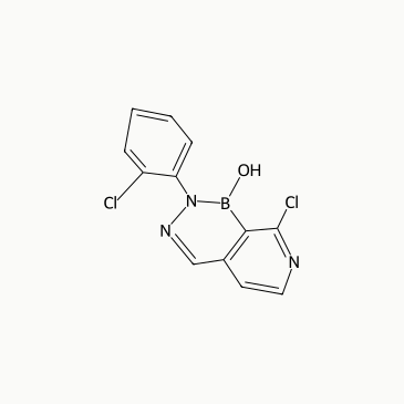 OB1c2c(ccnc2Cl)C=NN1c1ccccc1Cl